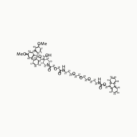 COc1ccc(C(OCC2(CO)CCN(C(=O)COCC(=O)NCCCOCCOCCOCCCNC(=O)OCC3c4ccccc4-c4ccccc43)CC2)(c2ccccc2)c2ccc(OC)cc2)cc1